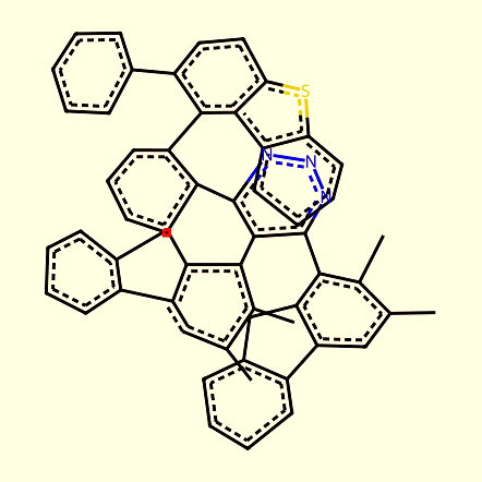 Cc1cc2c(c(-c3nnnc(-c4ccccc4-c4c(-c5ccccc5)ccc5sc6ccccc6c45)c3-c3c(C)c(C)cc4c3Cc3ccccc3-4)c1C)Cc1ccccc1-2